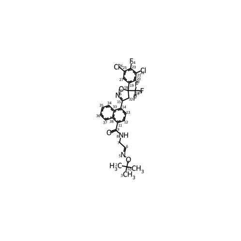 CC(C)(C)ON=CCNC(=O)c1ccc(C2=NOC(c3cc(Cl)c(F)c(Cl)c3)(C(F)(F)F)C2)c2ccccc12